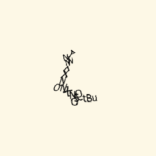 CC(C)(C)CS(=O)(=O)N1CC2(CN(C(=O)N3CC4(CC(n5cnc(C6CC6)n5)C4)C3)C2)C1